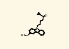 CCCCCCc1ccc2c(c1)c1ccccc1n2CCCCC(CC)C1CC1